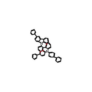 c1ccc(-c2ccc(N(c3ccc(-c4ccccc4)cc3)c3ccccc3-c3ccccc3-n3c4ccccc4c4cc(-c5ccccc5)ccc43)cc2)cc1